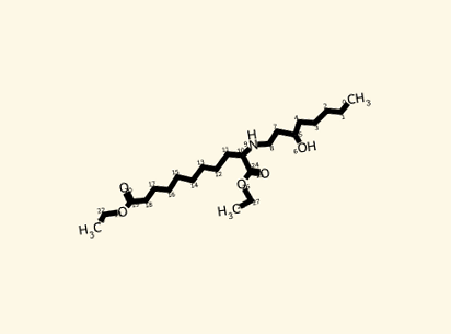 CCCCCC(O)CCNC(CCCCCCCCC(=O)OCC)C(=O)OCC